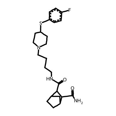 NC(=O)C1C2CCC(C2)C1C(=O)NCCCCN1CCC(Sc2ccc(F)cc2)CC1